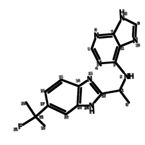 CC(Nc1ncnc2[nH]cnc12)c1nc2ccc(C(C)(C)F)cc2[nH]1